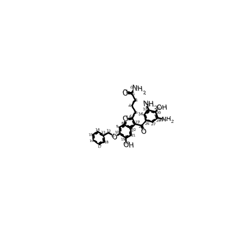 NC(=O)CCCc1oc2cc(OCc3ccccc3)c(O)cc2c1C(=O)c1cc(N)c(O)c(N)c1